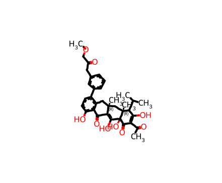 COCC(=O)Cc1cccc(-c2ccc(O)c3c2C[C@]2(C)C[C@]4(C)C(C(C)C)C(O)=C(C(C)=O)C(=O)[C@]4(O)C(O)=C2C3=O)c1